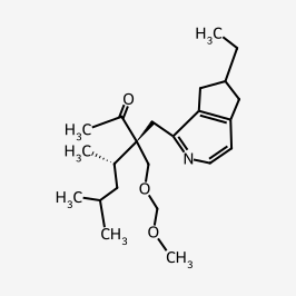 CCC1Cc2ccnc(C[C@](COCOC)(C(C)=O)[C@@H](C)CC(C)C)c2C1